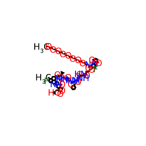 COCCOCCOCCOCCOCCOCCOCCOCCNC(=O)c1cc(N2C(=O)C=CC2=O)cc(F)c1OCCCC(=O)NCC(=O)NCC(=O)N[C@@H](Cc1ccccc1)C(=O)NCC(=O)NCO[C@@H](C(=O)N[C@H]1CCc2c(C)c(F)cc3nc4c(c1c23)Cn1c-4cc2c(c1=O)COC(=O)[C@]2(O)CC1CC1)C1CC1